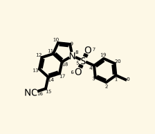 Cc1ccc(S(=O)(=O)n2ccc3ccc(CC#N)cc32)cc1